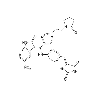 O=C1NC(=O)C(=Cc2ccc(NC(=C3C(=O)Nc4ccc([N+](=O)[O-])cc43)c3ccc(CCN4CCCC4=O)cc3)cc2)N1